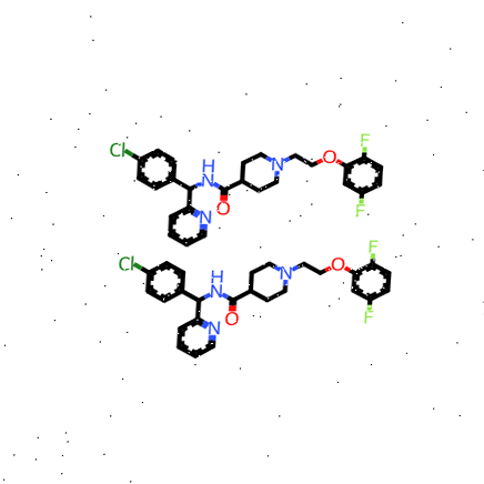 O=C(NC(c1ccc(Cl)cc1)c1ccccn1)C1CCN(CCOc2cc(F)ccc2F)CC1.O=C(NC(c1ccc(Cl)cc1)c1ccccn1)C1CCN(CCOc2cc(F)ccc2F)CC1